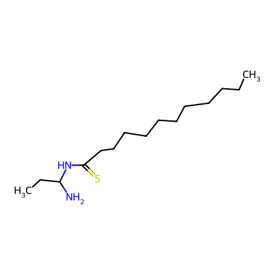 CCCCCCCCCCCC(=S)NC(N)CC